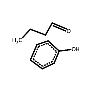 CCCC=O.Oc1ccccc1